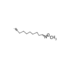 [C]#CCCCCCCCC=NOC